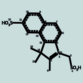 CC1=[N+](CS(=O)(=O)O)c2ccc3ccc(S(=O)(=O)O)cc3c2C1(C)C